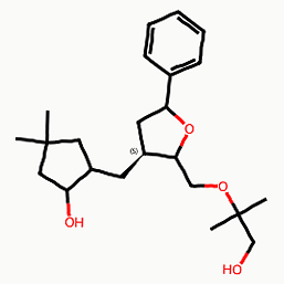 CC1(C)CC(O)C(C[C@H]2CC(c3ccccc3)OC2COC(C)(C)CO)C1